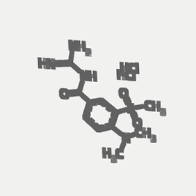 CN(C)c1ccc(C(=O)NC(=N)N)cc1S(C)(=O)=O.Cl.Cl